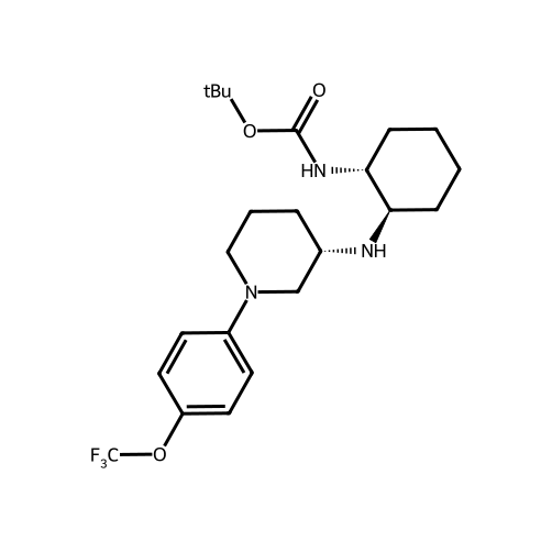 CC(C)(C)OC(=O)N[C@@H]1CCCC[C@H]1N[C@H]1CCCN(c2ccc(OC(F)(F)F)cc2)C1